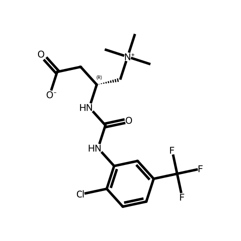 C[N+](C)(C)C[C@@H](CC(=O)[O-])NC(=O)Nc1cc(C(F)(F)F)ccc1Cl